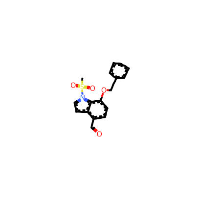 CS(=O)(=O)n1ccc2c(C=O)ccc(OCc3ccccc3)c21